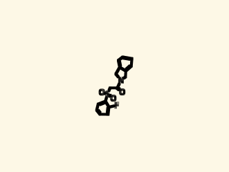 O=C(CS(=O)(=O)c1ccccc1F)N1Cc2ccccc2C1